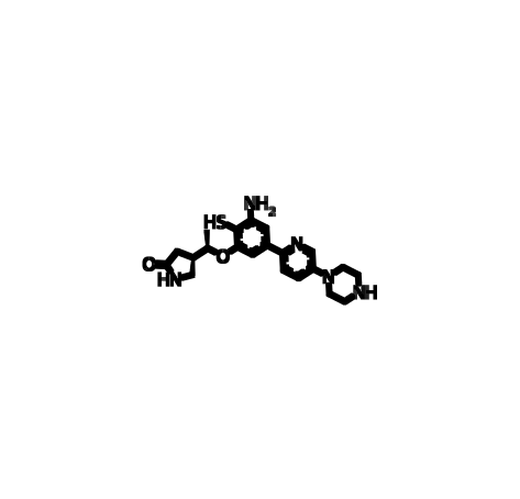 C[C@@H](Oc1cc(-c2ccc(N3CCNCC3)cn2)cc(N)c1S)[C@H]1CNC(=O)C1